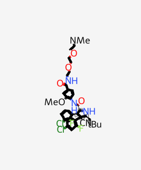 CNCCOCCOCCNC(=O)c1ccc(NC(=O)[C@@H]2N[C@@H](CC(C)(C)C)[C@](C#N)(c3ccc(Cl)cc3F)[C@H]2c2cccc(Cl)c2F)c(OC)c1